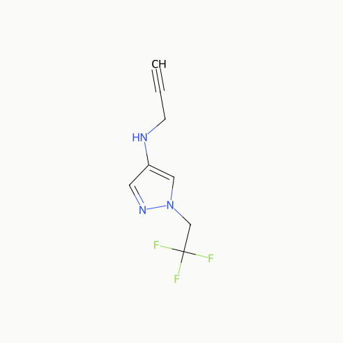 C#CCNc1cnn(CC(F)(F)F)c1